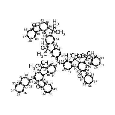 CC1(C)c2cc(N(c3ccc4c(c3)C(C)(C)c3cc(-c5ccc6ccccc6c5)c5oc6ccccc6c5c3-4)c3ccc4c(c3)C(C)(C)c3c5c(c6c(oc7ccccc76)c3-4)-c3ccccc3C5(C)C)ccc2-c2cc3c(cc21)-c1c(ccc2oc4ccccc4c12)C3(C)C